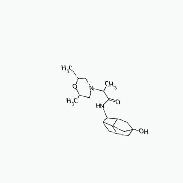 CC1CN(C(C)C(=O)NC2C3CC4CC2CC(O)(C4)C3)CC(C)O1